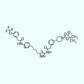 CC(C)(C)OC(=O)N1CCC(c2cccc(CC(=O)Nc3nnc(CCCCc4ccc(NC(=O)Cc5cccc(OC(F)(F)F)c5)nc4)s3)c2)CC1